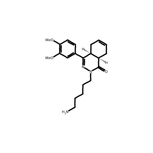 COc1ccc(C2=NN(CCCCCN)C(=O)[C@@H]3CC=CC[C@H]23)cc1OC